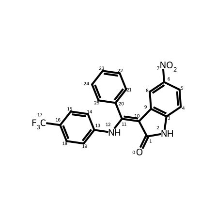 O=C1Nc2ccc([N+](=O)[O-])cc2C1=C(Nc1ccc(C(F)(F)F)cc1)c1ccccc1